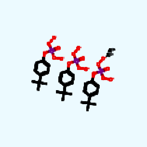 CC(C)(C)c1ccc(OP(=O)(O[O-])O[O-])cc1.CC(C)(C)c1ccc(OP(=O)(O[O-])O[O-])cc1.CC(C)(C)c1ccc(OP(=O)(O[O-])O[O-])cc1.[Al+3].[Al+3]